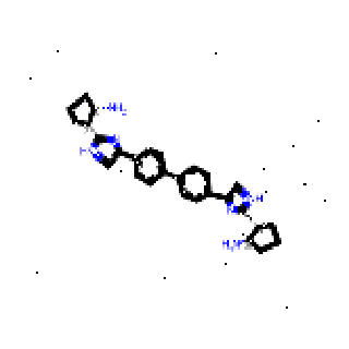 N[C@H]1CCC[C@H]1c1nc(-c2ccc(-c3ccc(-c4c[nH]c([C@@H]5CCC[C@@H]5N)n4)cc3)cc2)c[nH]1